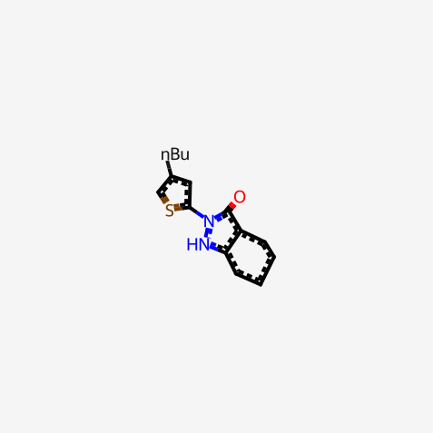 CCCCc1csc(-n2[nH]c3ccccc3c2=O)c1